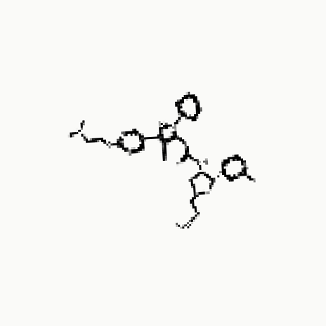 COCCN1C[C@@H](NC(=O)Nc2c(C)c(-c3cnc(OCCN(C)C)nc3)nn2-c2ccccc2)[C@H](c2ccnc(F)c2)O1